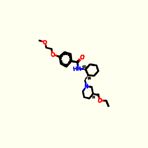 CCOC[C@H]1CCCN(C[C@H]2CCCC[C@@H]2NC(=O)c2ccc(OCCOC)cc2)C1